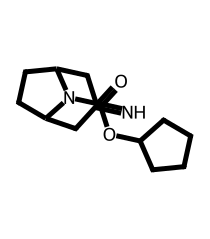 N=C1CC2CCC(C1)N2C(=O)OC1CCCC1